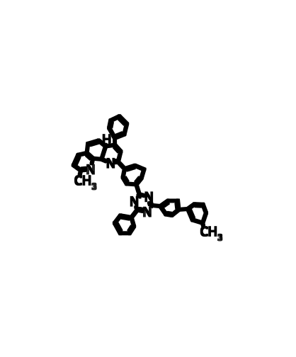 Cc1ccc2c(n1)C1N=C(C3=CCC=C(c4nc(-c5ccccc5)nc(-c5ccc(C6=CC(C)CC=C6)cc5)n4)C=C3)C=C(c3ccccc3)[C@@H]1C=C2